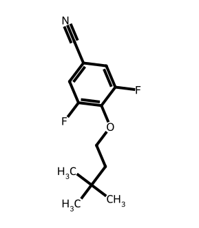 CC(C)(C)CCOc1c(F)cc(C#N)cc1F